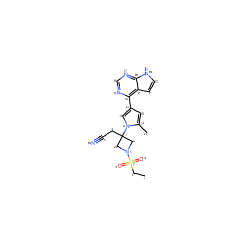 CCS(=O)(=O)N1CC(CC#N)(n2cc(-c3ncnc4[nH]ccc34)cc2C)C1